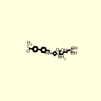 CC(=O)c1ccc(-c2ccc(CN[C@H]3C[C@@H](C(N)(CCCCB(O)O)C(=O)O)C3)cc2)cc1